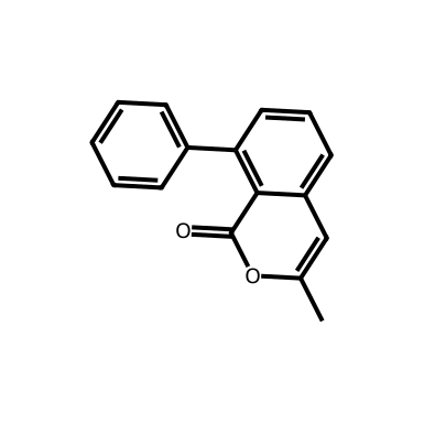 Cc1cc2cccc(-c3ccccc3)c2c(=O)o1